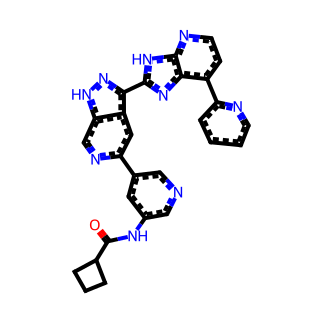 O=C(Nc1cncc(-c2cc3c(-c4nc5c(-c6ccccn6)ccnc5[nH]4)n[nH]c3cn2)c1)C1CCC1